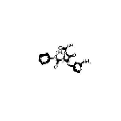 CN(C(=O)[C@@H]1[C@@H](Cc2ccnc(N)c2)C(=O)N1C(N)=O)c1ccccc1